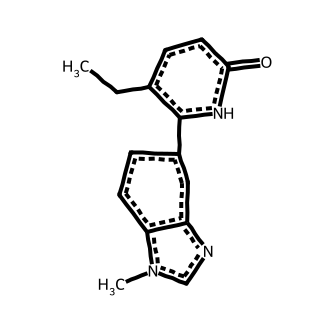 CCc1ccc(=O)[nH]c1-c1ccc2c(c1)ncn2C